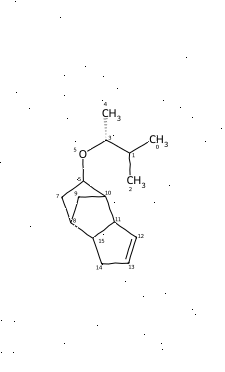 CC(C)[C@@H](C)OC1CC2CC1C1C=CCC21